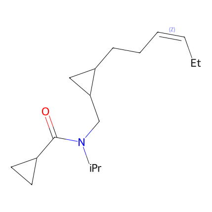 CC/C=C\CCC1CC1CN(C(=O)C1CC1)C(C)C